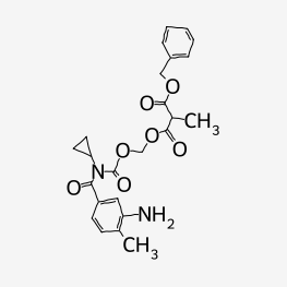 Cc1ccc(C(=O)N(C(=O)OCOC(=O)C(C)C(=O)OCc2ccccc2)C2CC2)cc1N